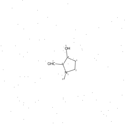 CN1CCC(O)C1C=O